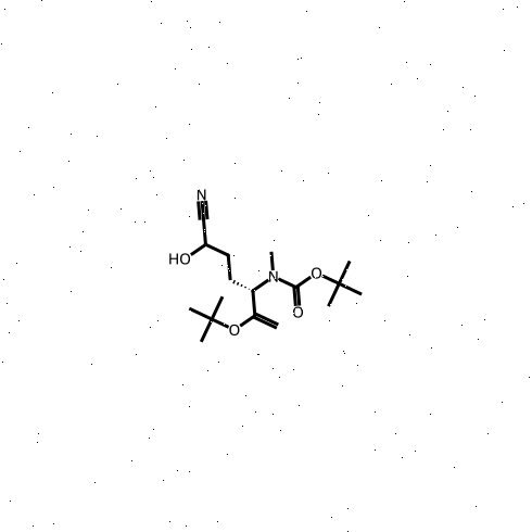 C=C(OC(C)(C)C)[C@H](CCC(O)C#N)N(C)C(=O)OC(C)(C)C